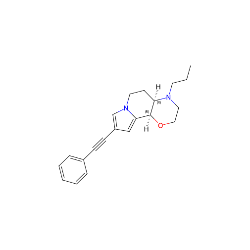 CCCN1CCO[C@H]2c3cc(C#Cc4ccccc4)cn3CC[C@H]21